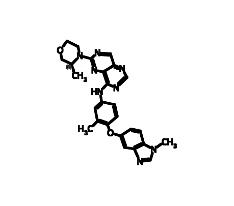 Cc1cc(Nc2ncnc3cnc(N4CCOC[C@@H]4C)nc23)ccc1Oc1ccc2c(c1)ncn2C